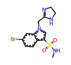 CNS(=O)(=O)c1cn(CC2=NCCN2)c2cc(Br)ccc12